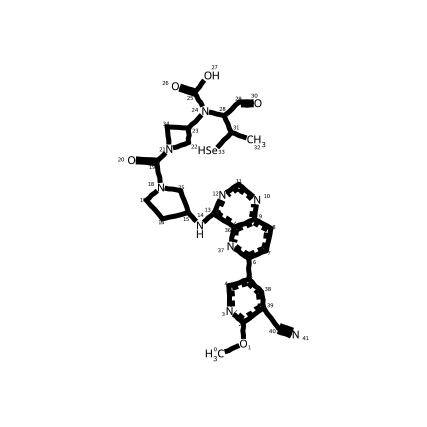 COc1ncc(-c2ccc3ncnc(NC4CCN(C(=O)N5CC(N(C(=O)O)C(C=O)C(C)[SeH])C5)C4)c3n2)cc1C#N